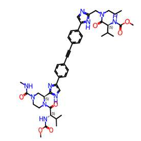 CCCN(Cc1ncc(-c2ccc(C#Cc3ccc(-c4c[nH]c([C@@H]5CN(C(=O)NC)CCN5C(=O)[C@@H](NC(=O)OC)C(C)C)n4)cc3)cc2)[nH]1)C(=O)[C@@H](NC(=O)OC)C(C)C